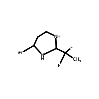 CC(C)C1CCNC(C(C)(F)F)N1